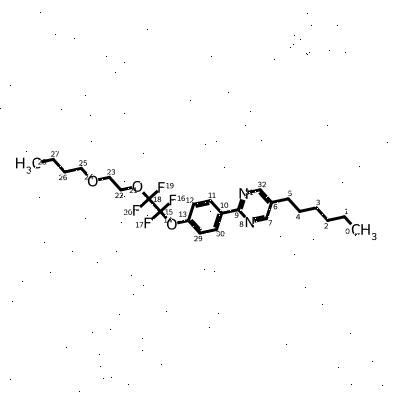 CCCCCCc1cnc(-c2ccc(OC(F)(F)C(F)(F)OCCOCCCC)cc2)nc1